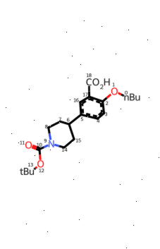 CCCCOc1ccc(C2CCN(C(=O)OC(C)(C)C)CC2)cc1C(=O)O